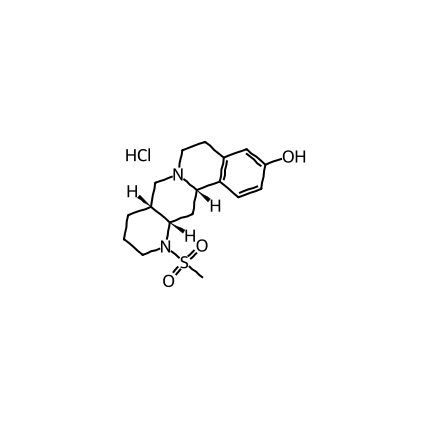 CS(=O)(=O)N1CCC[C@@H]2CN3CCc4cc(O)ccc4[C@@H]3C[C@@H]21.Cl